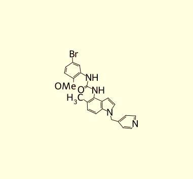 COc1ccc(Br)cc1NC(=O)Nc1c(C)ccc2c1ccn2Cc1ccncc1